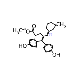 C=C1CCC/C(=C\C(CCC(=O)OCC)=C(c2ccc(O)cc2)c2ccc(O)cc2)C1